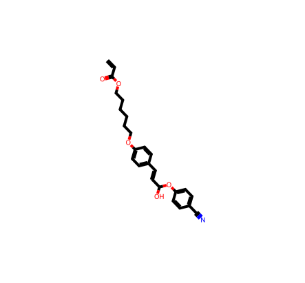 C=CC(=O)OCCCCCCOc1ccc(/C=C/C(O)Oc2ccc(C#N)cc2)cc1